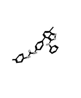 Cc1ccc(NC(=O)Nc2ccc(-c3ccc(C)c4noc(Nc5ccccc5)c34)cc2)cc1